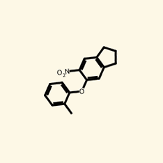 Cc1ccccc1Oc1cc2c(cc1[N+](=O)[O-])CCC2